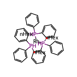 CCCCCC[PH](c1ccccc1)(c1ccccc1)[Rh]([PH](CCCCCC)(c1ccccc1)c1ccccc1)[PH](CCCCCC)(c1ccccc1)c1ccccc1